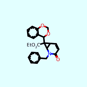 CCOC(=O)C1(C2OCOc3ccccc32)C2C=CC(=O)N(Cc3ccccc3)C21